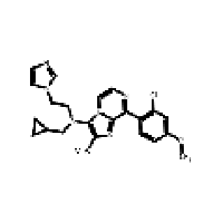 CSc1nc2c(-c3ccc(OC(F)(F)F)cc3Cl)nccn2c1N(CCn1ccnc1)CC1CC1